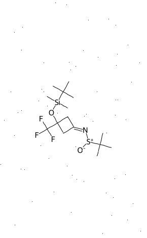 CC(C)(C)[S+]([O-])N=C1CC(O[Si](C)(C)C(C)(C)C)(C(F)(F)F)C1